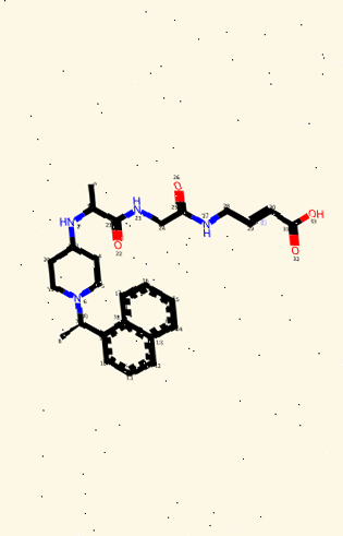 CC(NC1CCN([C@H](C)c2cccc3ccccc23)CC1)C(=O)NCC(=O)NC/C=C/C(=O)O